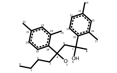 CCCCC([O])(CC(C)(O)c1ccc(C)cc1C)c1ccc(C)cc1C